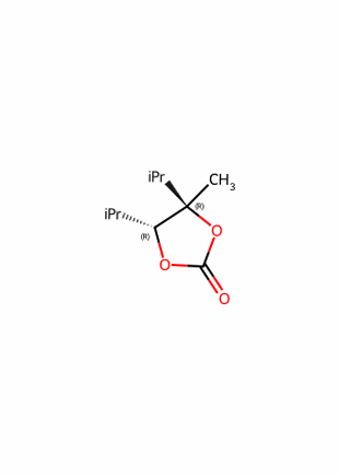 CC(C)[C@H]1OC(=O)O[C@]1(C)C(C)C